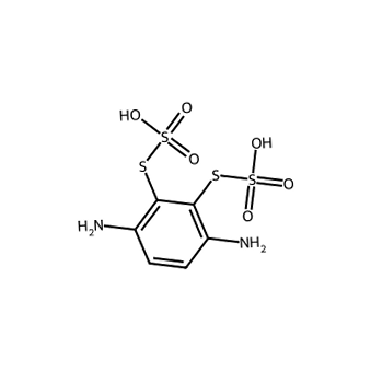 Nc1ccc(N)c(SS(=O)(=O)O)c1SS(=O)(=O)O